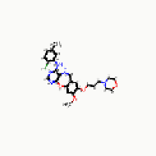 COc1cc2c(cc1OCCCN1CCOCC1)CNc1c(Nc3cc(C)ccc3F)ncnc1O2